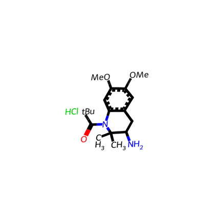 COc1cc2c(cc1OC)N(C(=O)C(C)(C)C)C(C)(C)C(N)C2.Cl